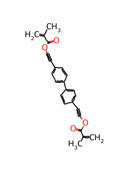 C=C(C)C(=O)OC#Cc1ccc(-c2ccc(C#COC(=O)C(=C)C)cc2)cc1